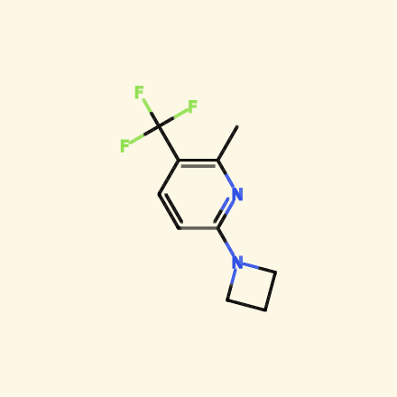 Cc1nc(N2CCC2)ccc1C(F)(F)F